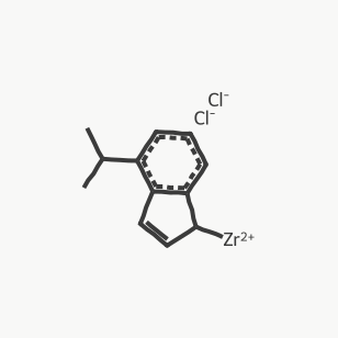 CC(C)c1cccc2c1C=C[CH]2[Zr+2].[Cl-].[Cl-]